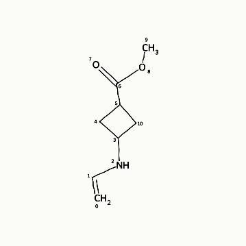 C=CNC1CC(C(=O)OC)C1